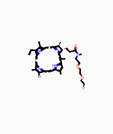 C=Cc1c(C)c2cc3nc(c(C)c4cc(C)c(cc5nc(cc1[nH]2)C(C)=C5CC)[nH]4)[C@@H](CCC(=O)N(C)CCOCCOCCCl)[C@@H]3C